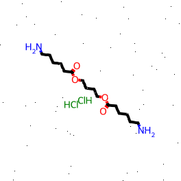 Cl.Cl.NCCCCCC(=O)OCCCCOC(=O)CCCCCN